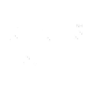 O=C(NCCc1c[nH]nn1)c1cc([N+](=O)[O-])cc([N+](=O)[O-])c1